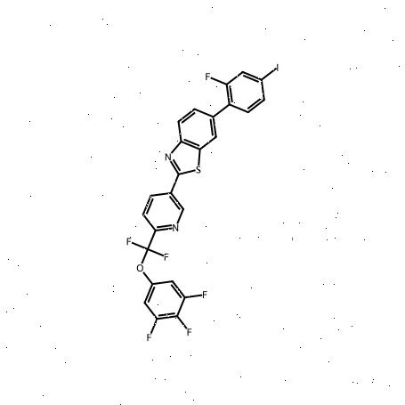 Fc1cc(I)ccc1-c1ccc2nc(-c3ccc(C(F)(F)Oc4cc(F)c(F)c(F)c4)nc3)sc2c1